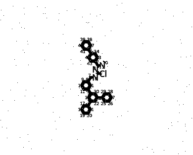 C=N/C(=N\C(Cl)=N/Cc1cccc(-c2cc(-c3ccccc3)cc(-c3ccccc3)c2)c1)c1ccc(-c2ccccc2)cc1